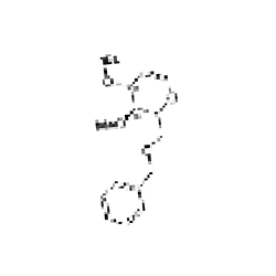 CCCCO[C@@H]1C=COC(COCc2ccccc2)[C@H]1OC